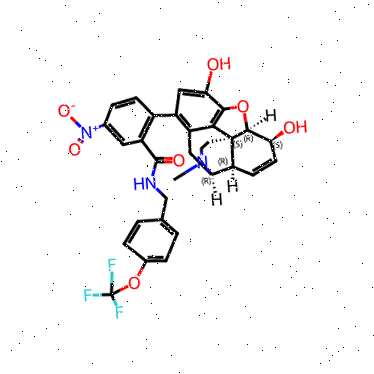 CN1CC[C@]23c4c5c(-c6ccc([N+](=O)[O-])cc6C(=O)NCc6ccc(OC(F)(F)F)cc6)cc(O)c4O[C@H]2[C@@H](O)C=C[C@H]3[C@H]1C5